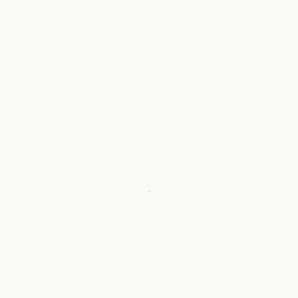 C=Cc1ccc2cc(C(=O)OC(C(F)(F)F)C(F)(F)S(=O)(=O)O)c(O)cc2c1